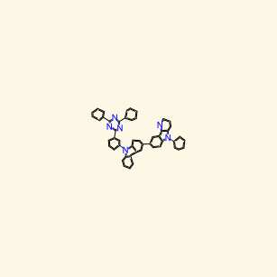 c1ccc(-c2nc(-c3ccccc3)nc(-c3cccc(-n4c5ccccc5c5cc(-c6ccc7c(c6)c6ncccc6n7-c6ccccc6)ccc54)c3)n2)cc1